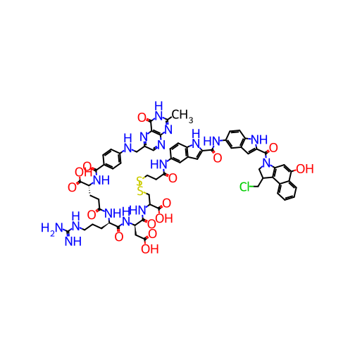 Cc1nc2ncc(CNc3ccc(C(=O)N[C@H](CCC(=O)N[C@H](CCCNC(=N)N)C(=O)N[C@H](CC(=O)O)C(=O)NC(CSSCCC(=O)Nc4ccc5[nH]c(C(=O)Nc6ccc7[nH]c(C(=O)N8CC(CCl)c9c8cc(O)c8ccccc98)cc7c6)cc5c4)C(=O)O)C(=O)O)cc3)nc2c(=O)[nH]1